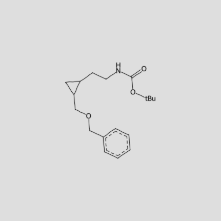 CC(C)(C)OC(=O)NCCC1CC1COCc1ccccc1